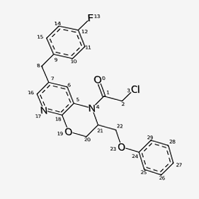 O=C(CCl)N1c2cc(Cc3ccc(F)cc3)cnc2OCC1COc1ccccc1